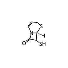 O=C1C(S)[C@@H]2SCC=CN12